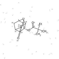 CCC(C)(C)C(=O)OC12CC3CC(C1)C(=O)OC2C3